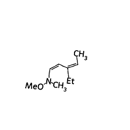 C/C=C(\C=C/N(C)OC)CC